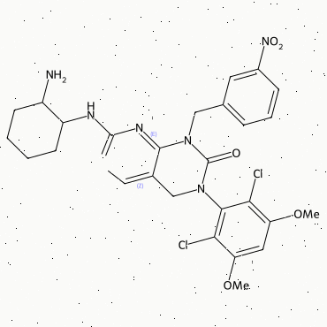 C=C(/N=C1\C(=C/C)CN(c2c(Cl)c(OC)cc(OC)c2Cl)C(=O)N1Cc1cccc([N+](=O)[O-])c1)NC1CCCCC1N